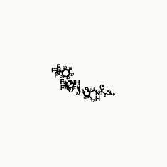 CSCC(=O)NCc1sc(/C=C/C(=O)NC(c2cccc(C(F)(F)F)c2)C(F)(F)F)cc1C